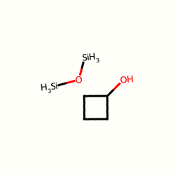 OC1CCC1.[SiH3]O[SiH3]